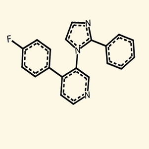 Fc1ccc(-c2ccncc2-n2ccnc2-c2ccccc2)cc1